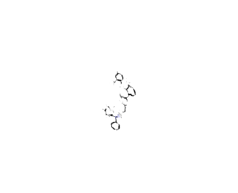 Cn1nnnc1/C(=N\OCc1nnc(-c2cccc(Br)c2Oc2ccc(Cl)cc2Cl)o1)c1ccccc1